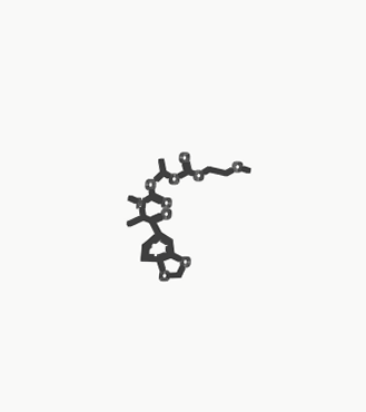 COCCOC(=O)OC(C)OC(=O)N(C)C(C)C(=O)c1ccc2c(c1)OCO2